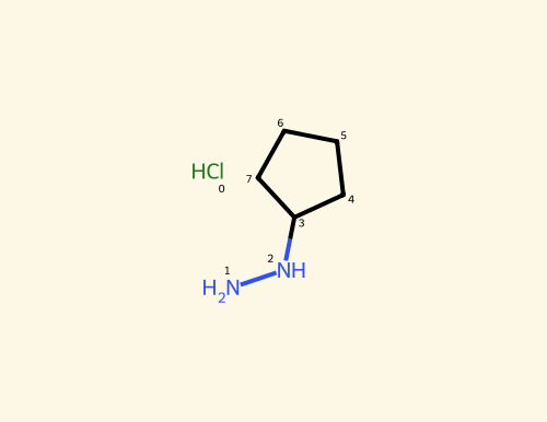 Cl.NNC1CCCC1